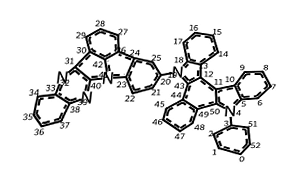 c1ccc(-n2c3ccccc3c3c4c5ccccc5n(-c5ccc6c(c5)c5cccc7c8nc9ccccc9nc8n6c57)c4c4ccccc4c32)cc1